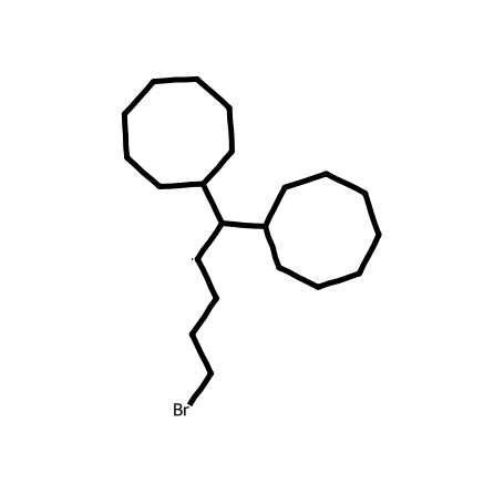 BrCCC[CH]C(C1CCCCCCC1)C1CCCCCCC1